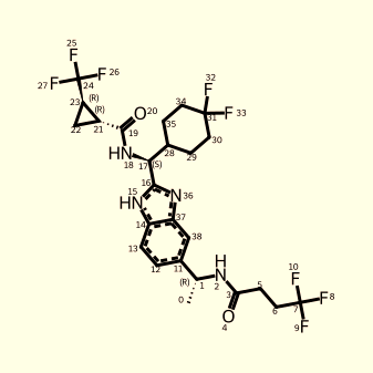 C[C@@H](NC(=O)CCC(F)(F)F)c1ccc2[nH]c([C@@H](NC(=O)[C@@H]3C[C@H]3C(F)(F)F)C3CCC(F)(F)CC3)nc2c1